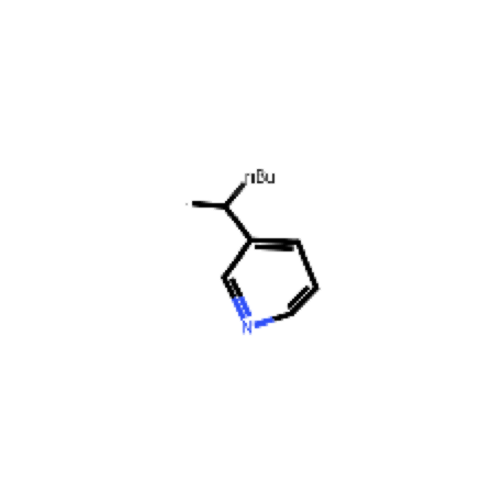 [CH2]C(CCCC)c1cccnc1